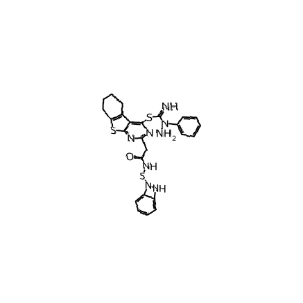 N=C(Sc1nc(CC(=O)NSn2[nH]c3ccccc32)nc2sc3c(c12)CCCC3)N(N)c1ccccc1